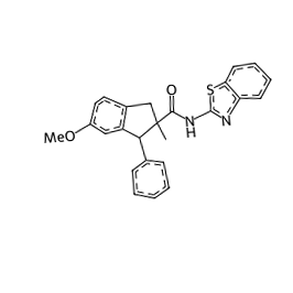 COc1ccc2c(c1)C(c1ccccc1)C(C)(C(=O)Nc1nc3ccccc3s1)C2